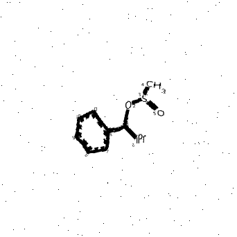 CC(C)C(OS(C)=O)c1ccccc1